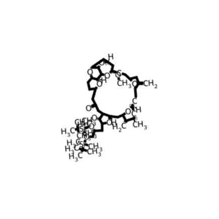 C=C1CC2CC[C@@]3(OC)C[C@@H]4CC5OC6CCC(CC(=O)CC7[C@@H](OC)C(CC(CO[Si](C)(C)C(C)(C)C)O[Si](C)(C)C(C)(C)C)O[C@H]7CC7O[C@@H](CCC1O2)C[C@@H](C)C7=C)O[C@@H]6C(O3)C5O4